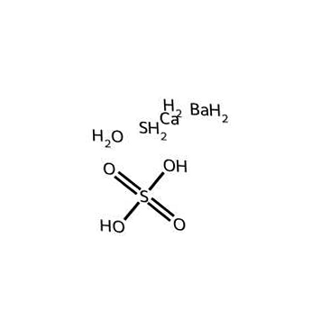 O.O=S(=O)(O)O.S.[BaH2].[CaH2]